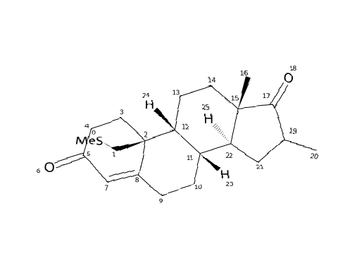 CSC[C@]12CCC(=O)C=C1CC[C@@H]1[C@H]2CC[C@]2(C)C(=O)C(C)C[C@@H]12